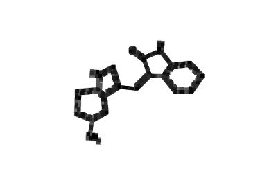 Nc1ccc2[nH]cc(C=C3C(=O)Nc4ccccc43)c2c1